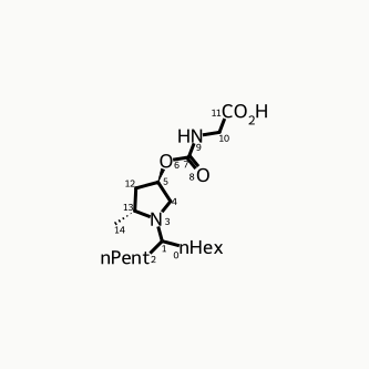 CCCCCCC(CCCCC)N1C[C@H](OC(=O)NCC(=O)O)C[C@H]1C